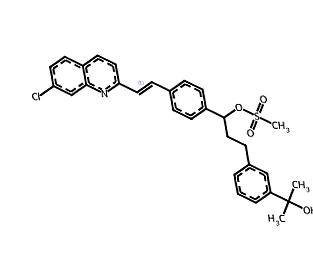 CC(C)(O)c1cccc(CCC(OS(C)(=O)=O)c2ccc(/C=C/c3ccc4ccc(Cl)cc4n3)cc2)c1